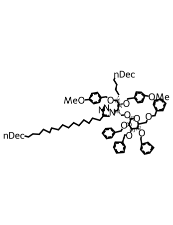 CCCCCCCCCCCCCCCCCCCCCCCCCc1cn([C@@H](CO[C@H]2OC(COCc3ccccc3)[C@H](OCc3ccccc3)[C@@H](OCc3ccccc3)[C@@H]2OCc2ccccc2)[C@H](OCc2ccc(OC)cc2)[C@@H](CCCCCCCCCCCCCC)OCc2ccc(OC)cc2)nn1